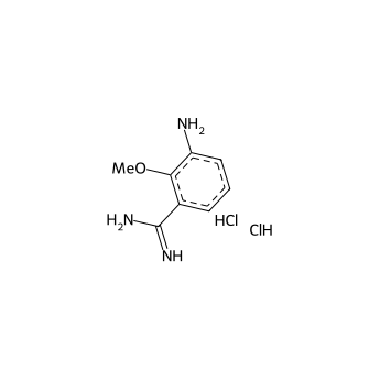 COc1c(N)cccc1C(=N)N.Cl.Cl